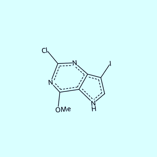 COc1nc(Cl)nc2c(I)c[nH]c12